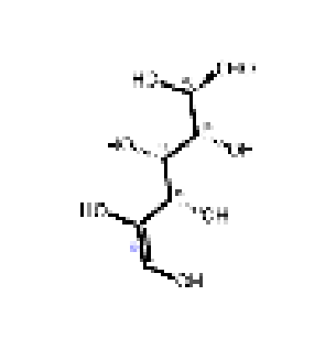 O=C[C@H](O)[C@H](O)[C@@H](O)[C@H](O)/C(O)=C\O